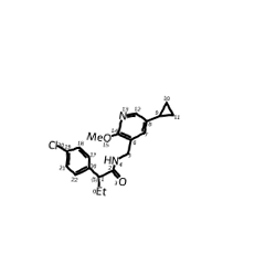 CC[C@H](C(=O)NCc1cc(C2CC2)cnc1OC)c1ccc(Cl)cc1